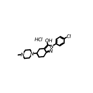 CN1CCN(C2CCc3nn(-c4ccc(Cl)cc4)c(O)c3C2)CC1.Cl